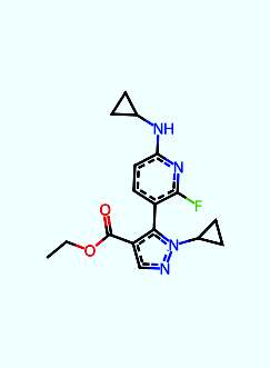 CCOC(=O)c1cnn(C2CC2)c1-c1ccc(NC2CC2)nc1F